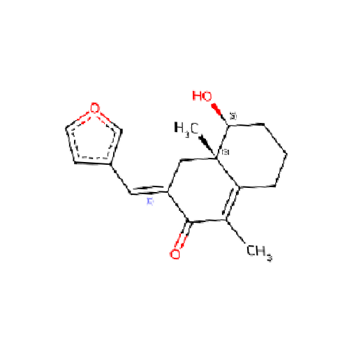 CC1=C2CCC[C@H](O)[C@@]2(C)C/C(=C\c2ccoc2)C1=O